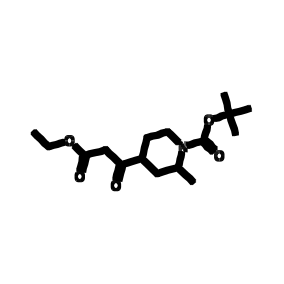 CCOC(=O)CC(=O)C1CCN(C(=O)OC(C)(C)C)C(C)C1